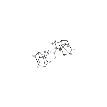 C/C(=N\C12CC3CC(CC(C3)C1)C2)N(O)C12CC3CC(CC(C3)C1)C2